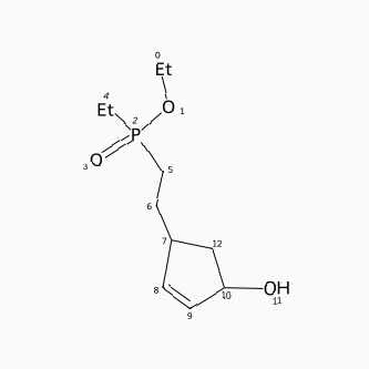 CCOP(=O)(CC)CCC1C=CC(O)C1